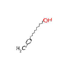 C=Cc1ccc(CCCCCCCCCCCO)cc1